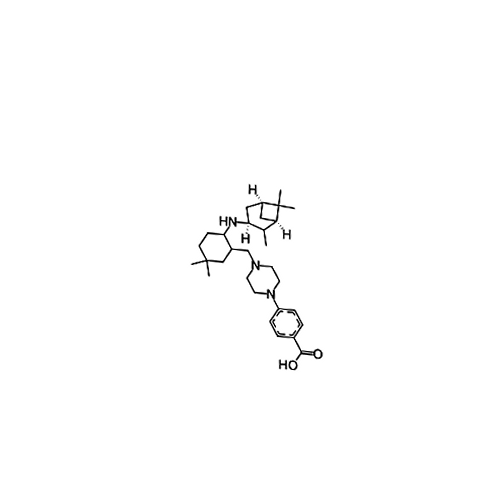 CC1[C@@H](NC2CCC(C)(C)CC2CN2CCN(c3ccc(C(=O)O)cc3)CC2)C[C@@H]2C[C@H]1C2(C)C